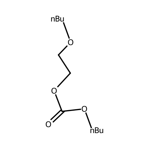 CCCCOCCOC(=O)OCCCC